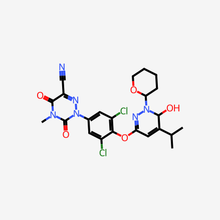 CC(C)C1=CC(Oc2c(Cl)cc(-n3nc(C#N)c(=O)n(C)c3=O)cc2Cl)=NN(C2CCCCO2)C1O